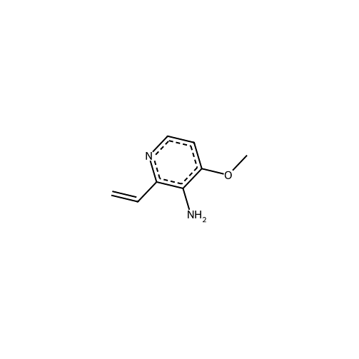 C=Cc1nccc(OC)c1N